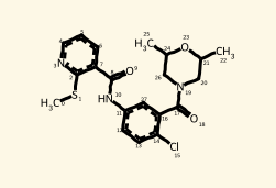 CSc1ncccc1C(=O)Nc1ccc(Cl)c(C(=O)N2CC(C)OC(C)C2)c1